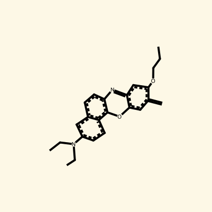 C=c1cc2c(cc1OCCC)=Nc1ccc3cc(N(CC)CC)ccc3c1O2